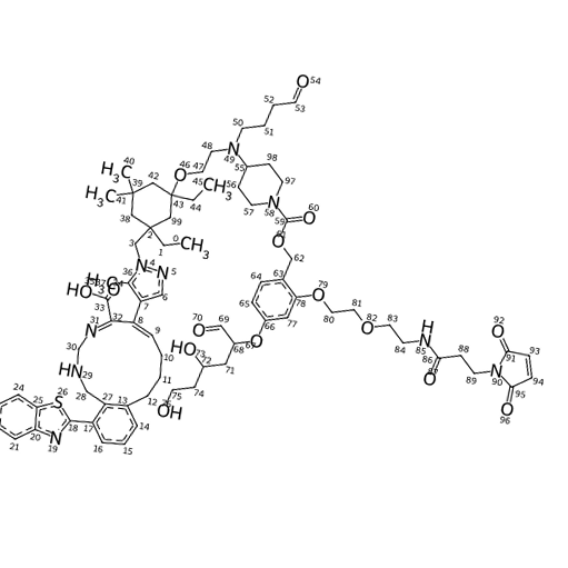 CCC1(Cn2ncc(C3=C/CCCc4cccc(-c5nc6ccccc6s5)c4CNC/N=C\3C(=O)O)c2C)CC(C)(C)CC(CC)(OCCN(CCCC=O)C2CCN(C(=O)OCc3ccc(OC(C=O)CC(O)CCO)cc3OCCOCCNC(=O)CCN3C(=O)C=CC3=O)CC2)C1